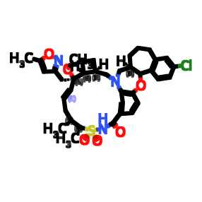 CO[C@]1(Cc2cc(C)on2)/C=C/C[C@H](C)[C@@H](C)S(=O)(=O)NC(=O)c2ccc3c(c2)N(C[C@H]2CCCc4cc(Cl)ccc4C2O3)C[C@@H]2CC[C@H]21